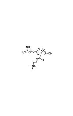 C[N+](C)(C)CCOC(=O)C(O)(CC(=O)O)CC(=O)O.NC(N)=O